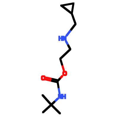 CC(C)(C)NC(=O)OCCNCC1CC1